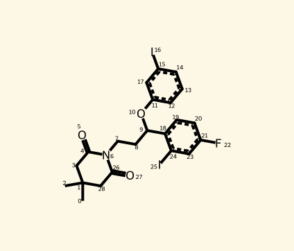 CC1(C)CC(=O)N(CCC(Oc2cccc(I)c2)c2ccc(F)cc2I)C(=O)C1